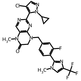 CN1C(=O)CN(Cc2ccc(-c3nc(C(F)(F)F)cn3C)c(F)c2)c2nc(-c3c(Cl)cnn3C3CC3)ncc21